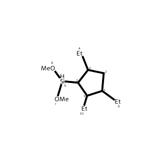 CCC1CC(CC)C([SiH](OC)OC)C1CC